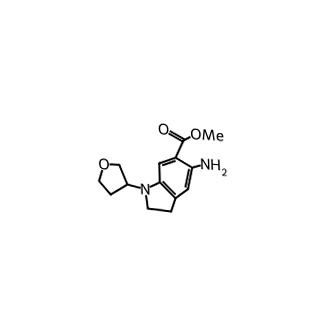 COC(=O)c1cc2c(cc1N)CCN2C1CCOC1